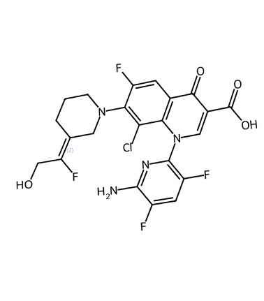 Nc1nc(-n2cc(C(=O)O)c(=O)c3cc(F)c(N4CCC/C(=C(/F)CO)C4)c(Cl)c32)c(F)cc1F